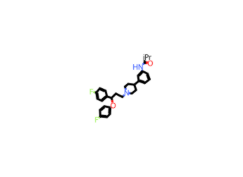 CC(C)C(=O)Nc1cccc(C2CCN(CCC(Oc3ccc(F)cc3)c3ccc(F)cc3)CC2)c1